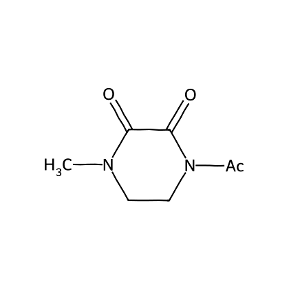 CC(=O)N1CCN(C)C(=O)C1=O